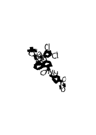 CC(C)(C)OC(=O)CN(c1cccc2c(C(=O)NCc3ccc(C(=O)N4CCOCC4)cc3)cccc12)S(=O)(=O)c1cc(Cl)cc(Cl)c1